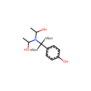 CCCCCCCCCC(CCCCCCCCC)(c1ccc(O)cc1)N(C(C)O)C(C)O